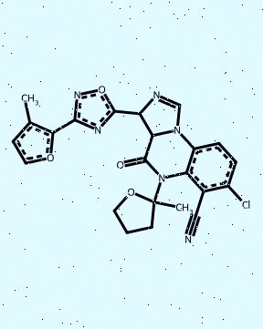 Cc1ccoc1-c1noc(C2N=CN3c4ccc(Cl)c(C#N)c4N(C4(C)CCCO4)C(=O)C23)n1